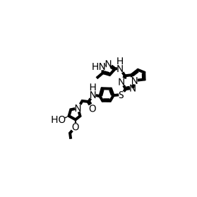 CCO[C@@H]1CN(CC(=O)Nc2ccc(Sc3nc(Nc4cc(C)[nH]n4)c4cccn4n3)cc2)C[C@H]1O